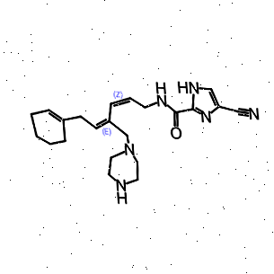 N#Cc1c[nH]c(C(=O)NC/C=C\C(=C/CC2=CCCCC2)CN2CCNCC2)n1